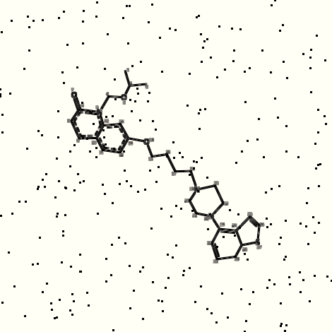 CC(C)OCn1c(=O)ccc2ccc(OCCCCN3CCN(C4=C5C=CSC5CC=C4)CC3)cc21